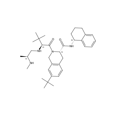 CN[C@@H](C)CN[C@H](C(=O)N1Cc2cc(C(C)(C)C)ccc2C[C@H]1C(=O)N[C@@H]1CCCc2ccccc21)C(C)(C)C